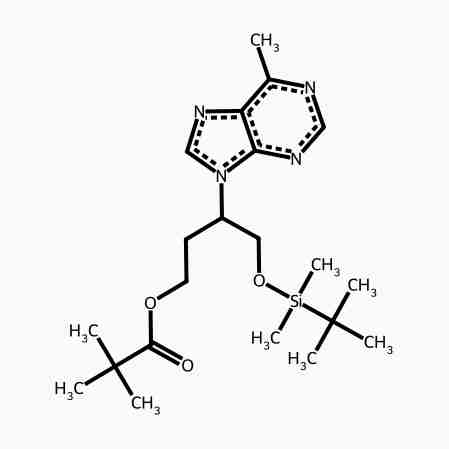 Cc1ncnc2c1ncn2C(CCOC(=O)C(C)(C)C)CO[Si](C)(C)C(C)(C)C